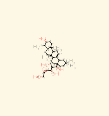 CC1C(O)CCC2(C)C1CCC1(C)C3CCC4(C(O)C(CO)C(O)C5OC5CO)CCC(C)(C)CC4C3=CCC12